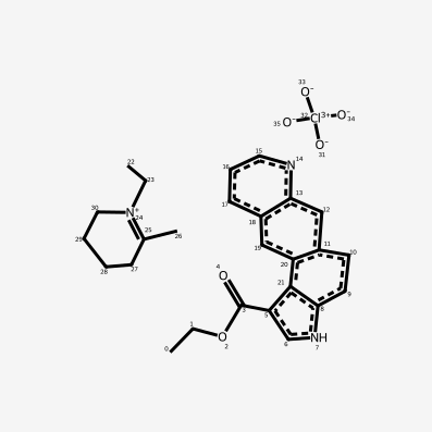 CCOC(=O)c1c[nH]c2ccc3cc4ncccc4cc3c12.CC[N+]1=C(C)CCCC1.[O-][Cl+3]([O-])([O-])[O-]